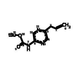 C=CCc1cnc(NC(=O)OC(C)(C)C)cn1